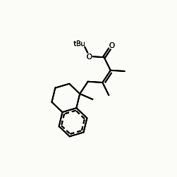 CC(CC1(C)CCCc2ccccc21)=C(C)C(=O)OC(C)(C)C